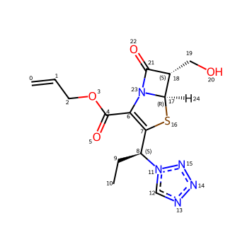 C=CCOC(=O)C1=C([C@H](CC)n2cnnn2)S[C@@H]2[C@@H](CO)C(=O)N12